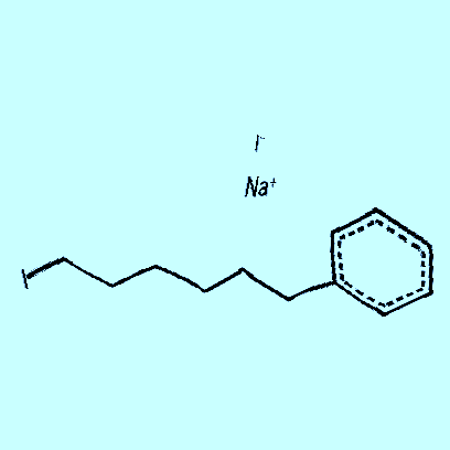 ICCCCCCc1ccccc1.[I-].[Na+]